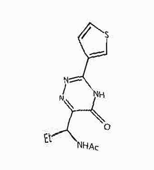 CCC(NC(C)=O)c1nnc(-c2ccsc2)[nH]c1=O